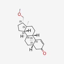 COC[C@H]1CC[C@H]2[C@@H]3CC[C@H]4CC(=O)C=C[C@]4(C)[C@H]3CC[C@]12C